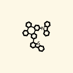 c1ccc2c(c1)-c1ccccc1-c1cc(-c3cccc4c3sc3ccccc34)ccc1-c1cc(-n3c4ccccc4c4ccccc43)ccc1-2